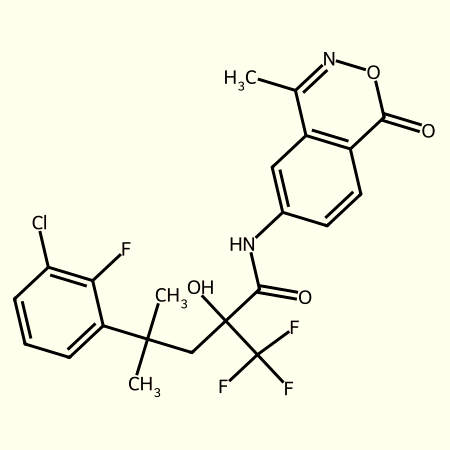 Cc1noc(=O)c2ccc(NC(=O)C(O)(CC(C)(C)c3cccc(Cl)c3F)C(F)(F)F)cc12